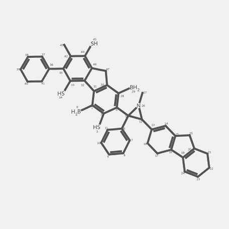 Bc1c(S)c(C2(c3ccccc3)C(C3=CC4=C(CC3)C3=C(CCC=C3)C4)N2C)c(B)c2c1-c1c(S)c(C3=CC=CCC3)c(C)c(S)c1C2